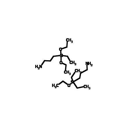 CCO[Si](CC)(CC)CCCN.CCO[Si](CC)(CCCN)OCC